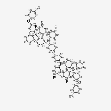 C=Cc1ccc(Oc2ccc(C3(c4cc(F)cc(F)c4F)c4ccccc4-c4ccc(N(c5ccc(F)cc5)c5ccc(-c6ccc(N(c7ccc(F)cc7)c7ccc8c(c7)C(c7ccc(Oc9ccc(C=C)cc9)cc7)(c7cc(F)cc(F)c7F)c7ccccc7-8)cc6)cc5)cc43)cc2)cc1